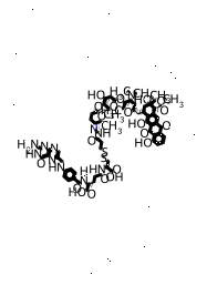 CC[C@@]1(O)C[C@H](C[C@H]2C[C@@H](N(C)C)[C@H](O[C@H]3C[C@@H](O)[C@H](O[C@H]4CC/C(=N/NC(=O)CCSSCC(NC(=O)CC[C@H](NC(=O)c5ccc(NCc6cnc7nc(N)[nH]c(=O)c7n6)cc5)C(=O)O)C(=O)O)C(C)O4)C(C)O3)C(C)O2)c2c(cc3c(c2O)C(=O)c2c(O)cccc2C3=O)[C@H]1C(=O)OC